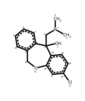 CN(C)CC1(O)c2ccccc2COc2cc(Cl)ccc21